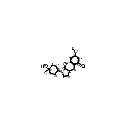 COc1ccc(CC2CCN(C3CCC(C)(O)CC3)C2=O)c(Cl)c1